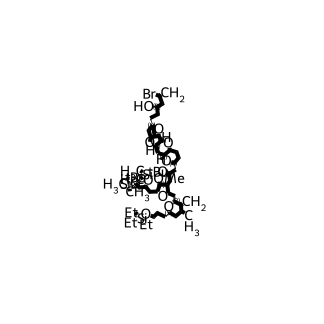 C=C(Br)C[C@H](O)CC[C@@]12CC3O[C@H]4C(O1)[C@H]1O[C@@H](CC(=O)CC5C(C[C@H]6O[C@@H](CCCO[Si](CC)(CC)CC)CC(C)C6=C)OC(CC(CO[Si](C)(C)C(C)(C)C)O[Si](C)(C)C(C)(C)C)[C@@H]5OC)CCC1O[C@H]4C3O2